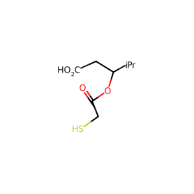 CC(C)C(CC(=O)O)OC(=O)CS